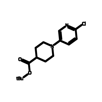 CC(C)(C)OC(=O)C1CCN(c2ccc(Cl)nc2)CC1